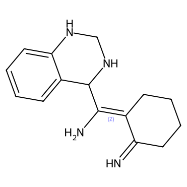 N=C1CCCC/C1=C(/N)C1NCNc2ccccc21